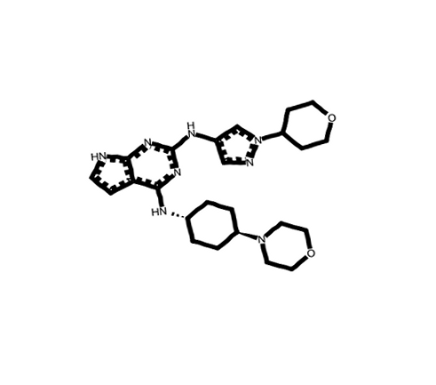 c1cc2c(N[C@H]3CC[C@H](N4CCOCC4)CC3)nc(Nc3cnn(C4CCOCC4)c3)nc2[nH]1